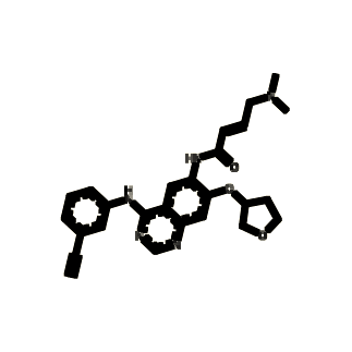 C#Cc1cccc(Nc2ncnc3cc(OC4CCOC4)c(NC(=O)/C=C/CN(C)C)cc23)c1